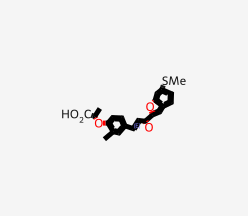 CSc1ccc2cc(C(=O)/C=C/c3ccc(OC(C)C(=O)O)c(C)c3)oc2c1